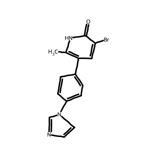 Cc1[nH]c(=O)c(Br)cc1-c1ccc(-n2ccnc2)cc1